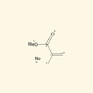 C=C(C)C(=O)OC.[Na]